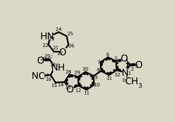 Cn1c(=O)oc2ccc(-c3ccc4oc(CC(C#N)NC(=O)[C@@H]5CNCCCO5)cc4c3)cc21